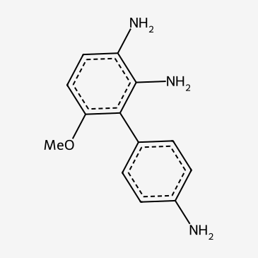 COc1ccc(N)c(N)c1-c1ccc(N)cc1